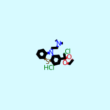 CN(C)CCN1c2ccccc2Sc2ccc(C3(CCl)OCCO3)cc21.Cl